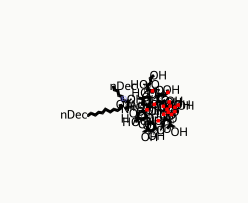 CCCCCCCCCCCCC/C=C/[C@@H](O)[C@H](CO[C@@H]1OC(CO)[C@@H](O[C@@H]2OC(CO)[C@H](O)[C@H](O[C@@H]3OC(CO)[C@@H](O[C@@H]4OC(CO)[C@H](O)[C@H](O[C@@H]5OC(CO)[C@@H](O[C@@H]6OC(CO)[C@H](O)[C@H](O)C6O)[C@H](O[C@H]6OC(C)[C@@H](O)C(O)[C@@H]6O)C5NC(C)=O)C4O)[C@H](O[C@H]4OC(C)[C@@H](O)C(O)[C@@H]4O)C3NC(C)=O)C2O)[C@H](O)C1O)NC(=O)CCCCCCCCCCCCCCCCCCC